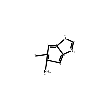 Cc1cc2scnc2cc1N